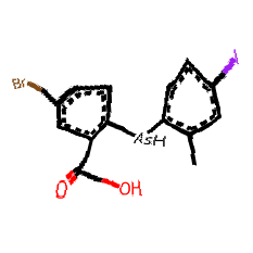 Cc1cc(I)ccc1[AsH]c1ccc(Br)cc1C(=O)O